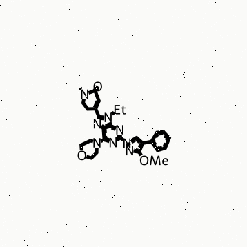 CCn1c(C2=CC(=O)N(C)CC2)nc2c(N3CCOCC3)nc(-n3cc(-c4ccccc4)c(OC)n3)nc21